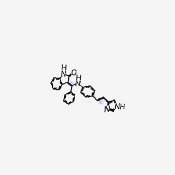 O=C1Nc2ccccc2/C1=C(/Nc1ccc(/C=C/c2c[nH]cn2)cc1)c1ccccc1